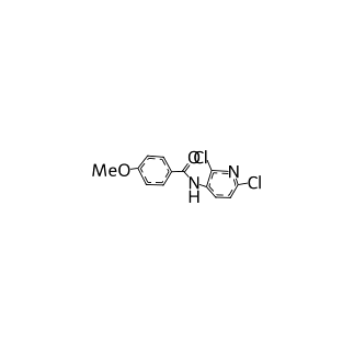 COc1ccc(C(=O)Nc2ccc(Cl)nc2Cl)cc1